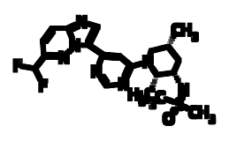 C[C@@H]1C[C@H](N=S(C)(C)=O)[C@H](C)N(c2cc(-c3cnc4ccc(C(F)F)nn34)ncn2)C1